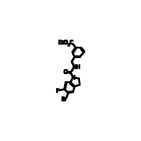 CCOC(=O)c1cccc(CNC(=O)N2CCc3cc(Br)c(F)cc32)c1